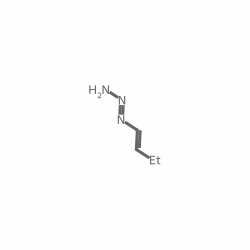 CC/C=C/N=NN